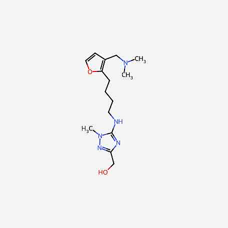 CN(C)Cc1ccoc1CCCCNc1nc(CO)nn1C